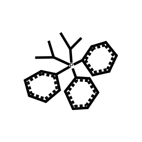 CC(C)P(c1ccccc1)(c1ccccc1)(c1ccccc1)C(C)C